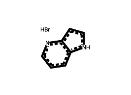 Br.c1cnc2cc[nH]c2c1